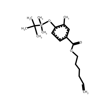 C=CCCCCOC(=O)c1ccc(O[Si](C)(C)C(C)(C)C)c(C)c1